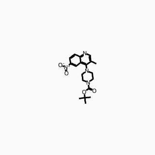 Cc1cnc2ccc([N+](=O)[O-])cc2c1N1CCN(C(=O)OC(C)(C)C)CC1